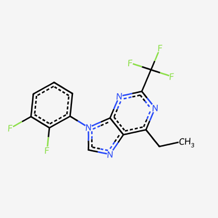 CCc1nc(C(F)(F)F)nc2c1ncn2-c1cccc(F)c1F